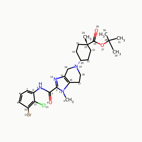 Cn1c(C(=O)Nc2cccc(Br)c2Cl)nc2c1CCN([C@H]1CC[C@@](C)(C(=O)OC(C)(C)C)CC1)C2